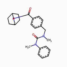 CN(Cc1ccc(C(=O)N2CC3CCC(CC3)C2)cc1)C(=O)N(C)c1ccccc1